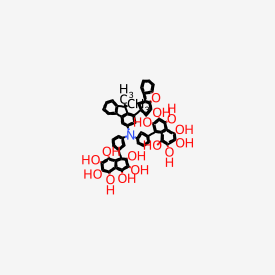 CC1(C)c2ccccc2-c2cc(N(c3cccc(-c4c(O)c(O)c(O)c5c(O)c(O)c(O)c(O)c45)c3)c3cccc(-c4c(O)c(O)c(O)c5c(O)c(O)c(O)c(O)c45)c3)cc(-c3ccc4oc5ccccc5c4c3)c21